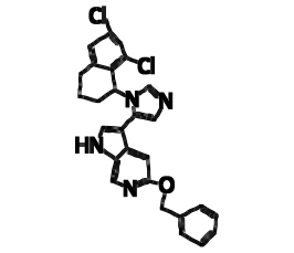 Clc1cc(Cl)c2c(c1)CCCC2n1cncc1-c1c[nH]c2cnc(OCc3ccccc3)cc12